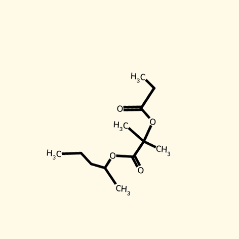 CCCC(C)OC(=O)C(C)(C)OC(=O)CC